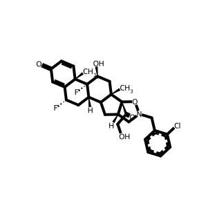 C[C@]12C=CC(=O)C=C1[C@@H](F)C[C@H]1C3C[C@H]4CN(Cc5ccccc5Cl)O[C@@]4(C(=O)CO)[C@@]3(C)C[C@H](O)[C@@]12F